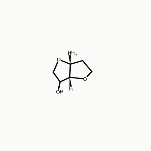 N[C@@]12CCO[C@@H]1C(O)CO2